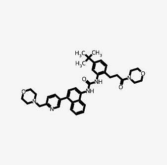 CC(C)(C)c1ccc(CCC(=O)N2CCOCC2)c(NC(=O)Nc2ccc(-c3ccc(CN4CCOCC4)nc3)c3ccccc23)c1